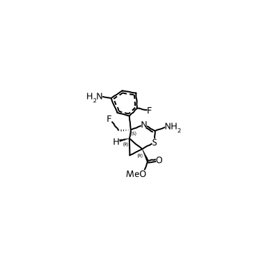 COC(=O)[C@@]12C[C@@H]1[C@@](CF)(c1cc(N)ccc1F)N=C(N)S2